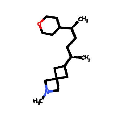 C[C@H](CC[C@H](C)C1CCOCC1)C1CC2(C1)CN(C)C2